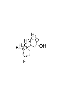 CNC(CC(=O)O)C1(C)CC=C(F)C=C1Br